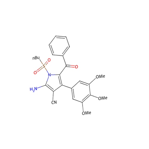 CCCCS(=O)(=O)n1c(N)c(C#N)c(-c2cc(OC)c(OC)c(OC)c2)c1C(=O)c1ccccc1